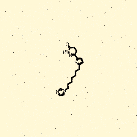 O=C1CCC(c2ccc(CCCCCCCn3ccnc3)s2)=NN1